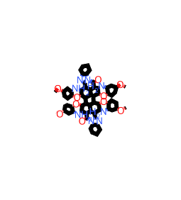 COc1ccc(Oc2cc3c(=O)n4c5ccccc5nc4c4cc(Oc5ccc(OC)cc5N)c5c6c(Oc7ccc(OC)cc7N)cc7c(=O)n8c9ccccc9nc8c8cc(Oc9ccc(OC)cc9N)c(c2c5c34)c6c78)c(N)c1